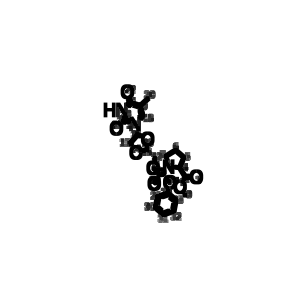 COC(=O)C1CCCN1P(=O)(OC[C@@H]1OC[C@H](n2cc(C)c(=O)[nH]c2=O)O1)Oc1ccccc1